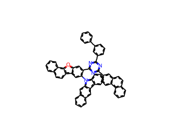 c1ccc(-c2cccc(-c3nc(-c4ccc5c(ccc6ccccc65)c4)nc(-c4cc5oc6c7ccccc7ccc6c5cc4-n4c5ccccc5c5cc6ccccc6cc54)n3)c2)cc1